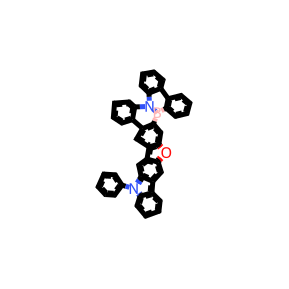 c1ccc(-n2c3ccccc3c3cc4oc5cc6c(cc5c4cc32)-c2ccccc2N2B6c3ccccc3-c3ccccc32)cc1